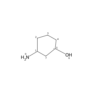 NC1CCC[C](O)C1